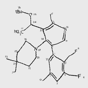 Cc1cc(F)c(F)c(-c2cnc(C)c(C(OC(C)(C)C)C(=O)O)c2N2CCC(C)(C)CC2)c1